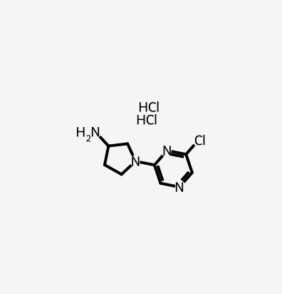 Cl.Cl.NC1CCN(c2cncc(Cl)n2)C1